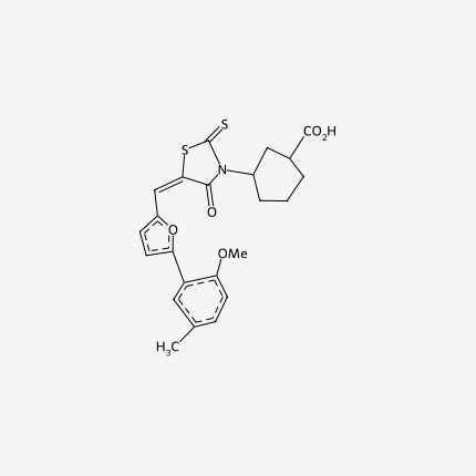 COc1ccc(C)cc1-c1ccc(C=C2SC(=S)N(C3CCCC(C(=O)O)C3)C2=O)o1